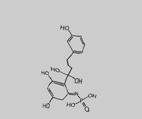 O=P(O)(O)N=C1CC(O)=CC(O)=C1C(O)(O)CCc1cccc(O)c1